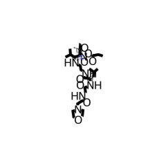 CCC(=O)O/N=C(/[C@@H](NC(=O)CNC(=O)[C@H](CC(C)C)NC(=O)CNC(=O)CN1CCOCC1)C(C)C)[C@@]1(C)CO1